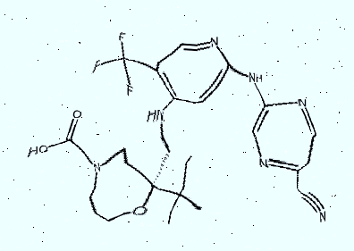 CC(C)(C)[C@]1(CNc2cc(Nc3cnc(C#N)cn3)ncc2C(F)(F)F)CN(C(=O)O)CCO1